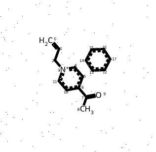 C=CC[n+]1ccc(C(C)=O)cc1.c1ccccc1